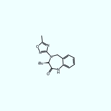 CC[C@H](C)C1C(=O)Nc2ccccc2CN1c1noc(C)n1